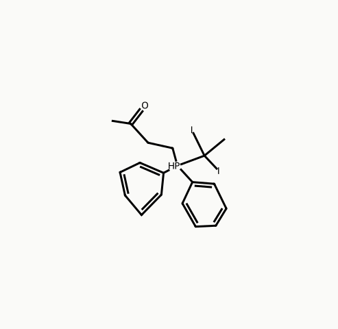 CC(=O)CC[PH](c1ccccc1)(c1ccccc1)C(C)(I)I